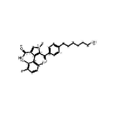 Cc1c(F)ccc(F)c1-c1c(C(=O)O)cn(C)c1C(=O)c1ccc(CCCCCCO)cc1